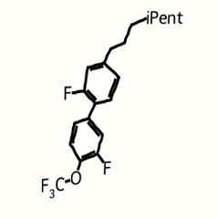 CCCC(C)CCCc1ccc(-c2ccc(OC(F)(F)F)c(F)c2)c(F)c1